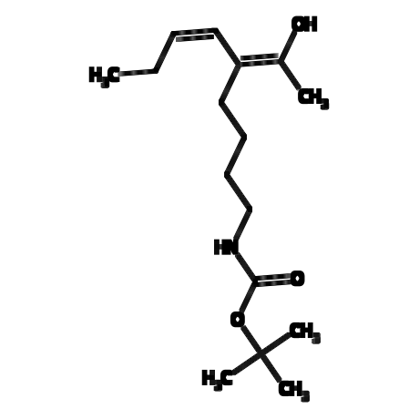 CC/C=C\C(CCCCNC(=O)OC(C)(C)C)=C(\C)O